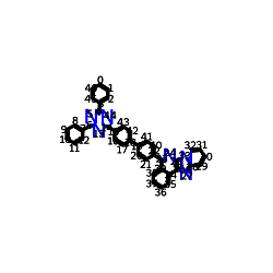 c1ccc(-c2nc(-c3ccccc3)nc(-c3ccc(-c4ccc(-c5nc6c(nc7ccccn76)c6ccccc56)cc4)cc3)n2)cc1